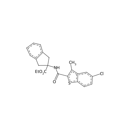 CCOC(=O)C1(NC(=O)c2sc3ccc(Cl)cc3c2C)Cc2ccccc2C1